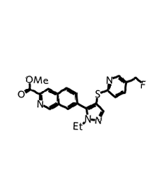 CCn1ncc(Sc2ccc(CF)cn2)c1-c1ccc2cc(C(=O)OC)ncc2c1